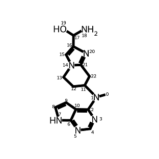 CN(c1ncnc2[nH]ccc12)C1CCn2cc(C(N)O)nc2C1